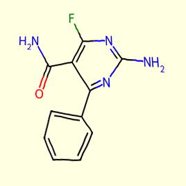 NC(=O)c1c(F)nc(N)nc1-c1ccccc1